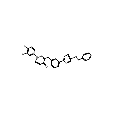 O=c1ccn(-c2ccc(F)c(F)c2)nc1Cc1cccc(-c2ncc(OCc3ccccc3)cn2)c1